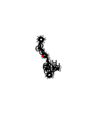 CC(C)(C)OC(=O)NC(C(=O)NCCc1ccc(OCC(=O)OCc2ccccc2)cc1)[C@H](Cc1ccccc1)C(=O)O